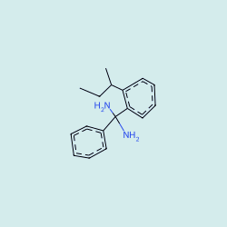 CCC(C)c1ccccc1C(N)(N)c1ccccc1